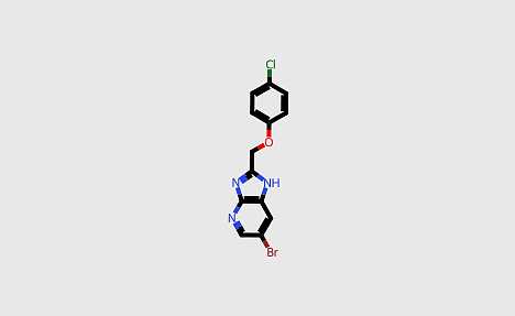 Clc1ccc(OCc2nc3ncc(Br)cc3[nH]2)cc1